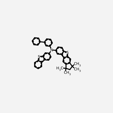 CC1(C)CC(C)(C)c2cc3c(cc21)sc1ccc(N(c2cccc(-c4ccccc4)c2)c2ccc4c(c2)sc2ccccc24)cc13